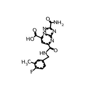 Cc1cc(CNC(=O)c2cc(C(=O)O)n3nc(C(N)=O)nc3n2)ccc1F